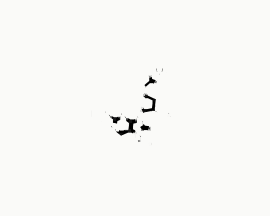 CCCCn1c(=O)n([C@@H]2O[C@H](CC(=O)OC)C[C@H]2OC(C)=O)c2nc(N)ncc21